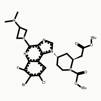 CN(C)C1CN(c2nc3c(F)c(Br)c(Cl)cc3c3c2ncn3[C@H]2CCN(C(=O)OC(C)(C)C)[C@H](CC(=O)OC(C)(C)C)C2)C1